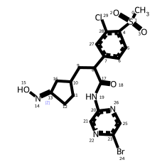 CS(=O)(=O)c1ccc(C(CC2CC/C(=N/O)C2)C(=O)Nc2cnc(Br)cn2)cc1Cl